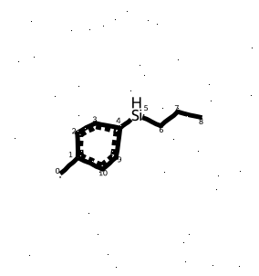 [CH2]c1ccc([SiH]CCC)cc1